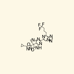 O=C1Nc2nc(-c3cn4ncnc4c(CCCC(F)(F)F)n3)nc3c2C1(c1nnc(C2CC2)o1)C1CN31